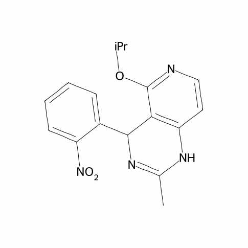 CC1=NC(c2ccccc2[N+](=O)[O-])c2c(ccnc2OC(C)C)N1